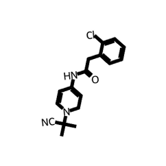 CC(C)(C#N)N1C=CC(NC(=O)Cc2ccccc2Cl)=CC1